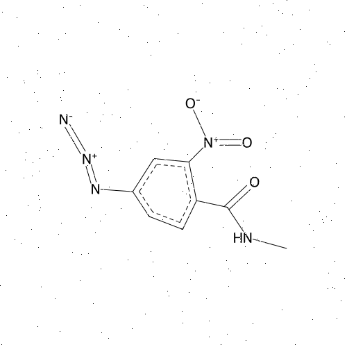 CNC(=O)c1ccc(N=[N+]=[N-])cc1[N+](=O)[O-]